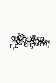 C[C@H]1C[C@@]2(CCN1Cc1cnn(CC(O)C(C)(C)O)c1)OCCc1c2sc(C(F)(F)F)c1CO